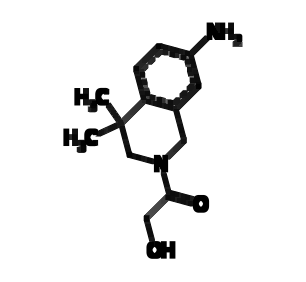 CC1(C)CN(C(=O)CO)Cc2cc(N)ccc21